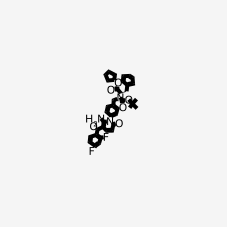 CC(C)(C)OC(=O)N(Cc1ccc(-n2c(N)c(C(=O)c3ccc(F)cc3F)ccc2=O)cc1)[C@@H](Cc1ccccc1)C(=O)OC1CCCC1